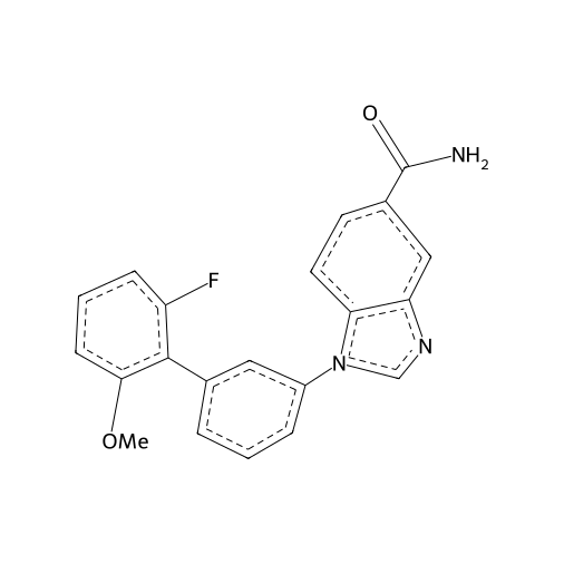 COc1cccc(F)c1-c1cccc(-n2cnc3cc(C(N)=O)ccc32)c1